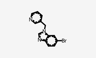 Brc1ccc2ncn(Cc3cccnc3)c2c1